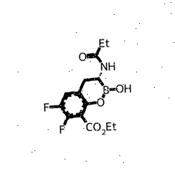 CCOC(=O)c1c(F)c(F)cc2c1OB(O)[C@@H](NC(=O)CC)C2